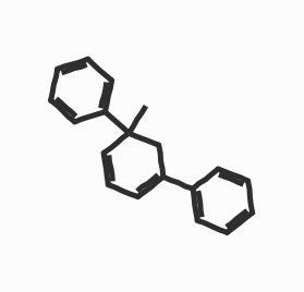 CC1(c2ccccc2)C=CC=C(c2ccccc2)C1